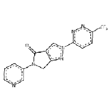 O=C1c2cn(-c3ccc(C(F)(F)F)nn3)nc2CN1c1cccnc1